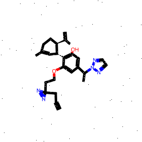 C#CCC1(CCOc2cc(C(C)n3nccn3)cc(O)c2[C@@H]2C=C(C)CC[C@H]2C(=C)C)N=N1